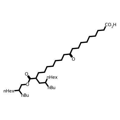 CCCCCCC(CCCC)COC(=O)C(CCCCCCCC(=O)CCCCCCCCC(=O)O)CC(CCCC)CCCCCC